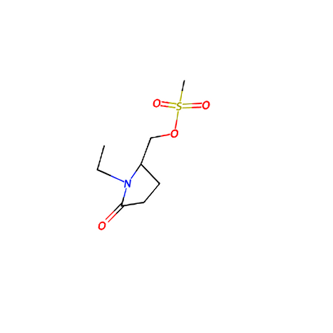 CCN1C(=O)CCC1COS(C)(=O)=O